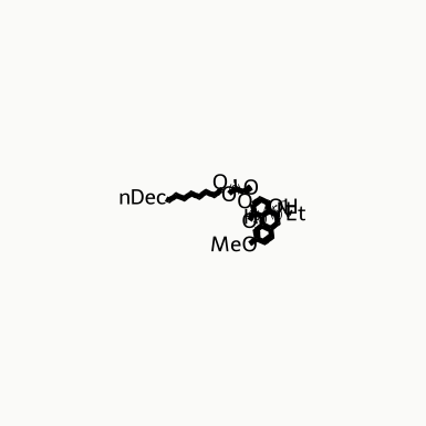 CCCCCCCCCCCCCCCCCC(=O)O[C@@H](C)C(=O)OC1=CC[C@@]2(O)[C@H](N(C)CC)Cc3ccc(OC)c4c3[C@@]2(C)[C@H]1O4